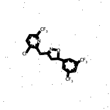 FC(F)(F)c1cc(C2CC(Cc3nc(C(F)(F)F)ccc3Cl)=NO2)cc(C(F)(F)F)c1